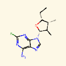 CC[C@H]1O[C@@H](n2cnc3c(N)nc(Cl)nc32)C(C)[C@H]1C